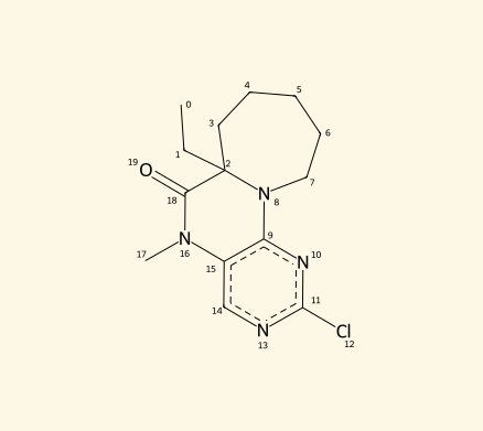 CCC12CCCCCN1c1nc(Cl)ncc1N(C)C2=O